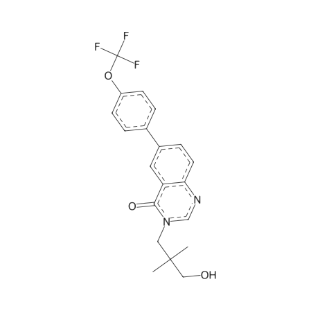 CC(C)(CO)Cn1cnc2ccc(-c3ccc(OC(F)(F)F)cc3)cc2c1=O